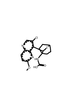 COc1ccc2ncc(Cl)c(C3CC4CCC3(NC(=O)O)CC4)c2n1